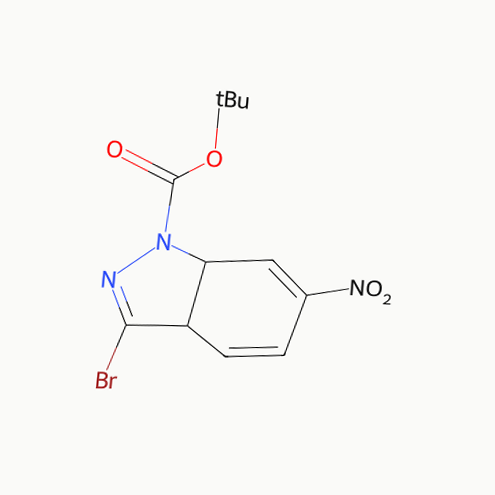 CC(C)(C)OC(=O)N1N=C(Br)C2C=CC([N+](=O)[O-])=CC21